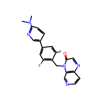 CN(C)c1ccc(-c2cc(F)c(Cn3c(=O)cnc4ccncc43)c(F)c2)cn1